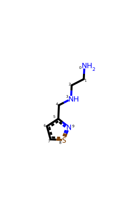 NCCNCc1ccsn1